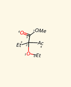 CCOC(CC)(C(C)=O)C(=O)OC